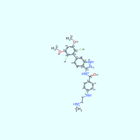 CNCCNc1ccc(C(=O)Nc2n[nH]c3cc(-c4c(F)c(OC)cc(OC)c4F)ccc23)cc1